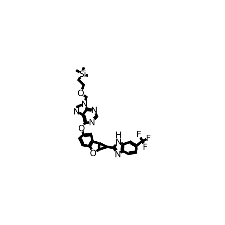 C[Si](C)(C)CCOCn1cnc2c(Oc3ccc4c(c3)C3C(O4)C3c3nc4ccc(C(F)(F)F)cc4[nH]3)ncnc21